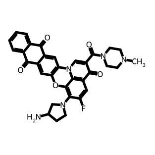 CN1CCN(C(=O)c2cn3c4cc5c(=O)c6ccccc6c(=O)c5cc4oc4c(N5CCC(N)C5)c(F)cc(c2=O)c43)CC1